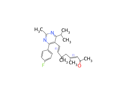 CC(=O)/C=C(\C)C[C@H](C)/C=C/c1c(-c2ccc(F)cc2)nc(C)nc1C(C)C